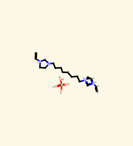 C=CN1CCN(CCCCCCCC[n+]2ccn(C=C)c2)C1.O=S(=O)([O-])O